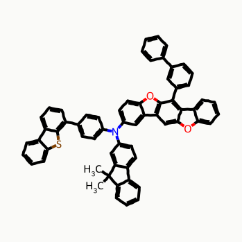 CC1(C)c2ccccc2-c2ccc(N(c3ccc(-c4cccc5c4sc4ccccc45)cc3)c3ccc4oc5c(-c6cccc(-c7ccccc7)c6)c6c(cc5c4c3)oc3ccccc36)cc21